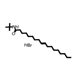 Br.CCCCCCCCC=CCCCCCCCC(=O)NC(C)(C)C